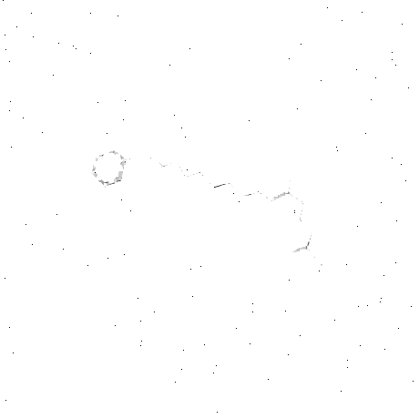 C/C(=C\CCCCCCCCCc1ccccc1)CCCC(=O)O